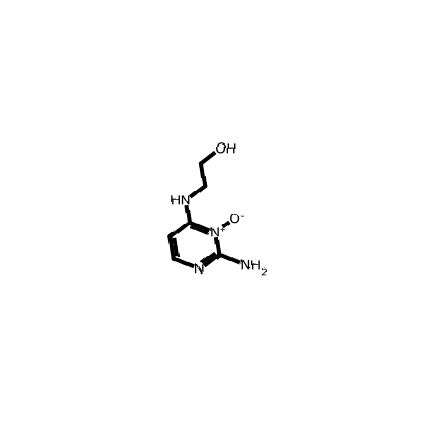 Nc1nccc(NCCO)[n+]1[O-]